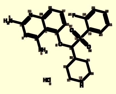 Cl.Nc1nc(N)c2c(OC(C3CCNCC3)S(=O)(=O)c3ccccc3F)cccc2n1